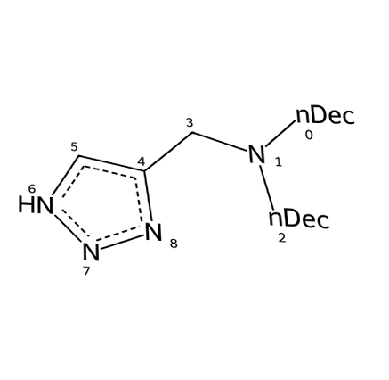 CCCCCCCCCCN(CCCCCCCCCC)Cc1c[nH]nn1